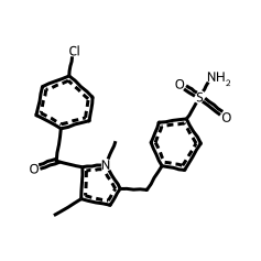 Cc1cc(Cc2ccc(S(N)(=O)=O)cc2)n(C)c1C(=O)c1ccc(Cl)cc1